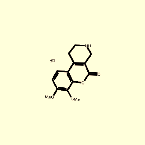 COc1ccc2c3c(c(=O)oc2c1OC)CNCC3.Cl